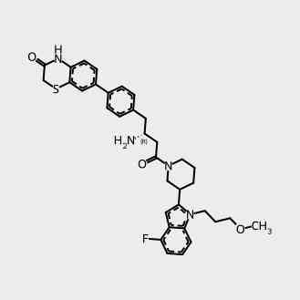 COCCCn1c(C2CCCN(C(=O)C[C@H](N)Cc3ccc(-c4ccc5c(c4)SCC(=O)N5)cc3)C2)cc2c(F)cccc21